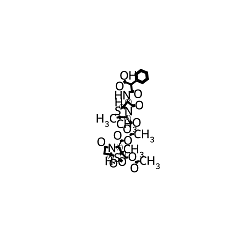 CC(=O)OC[C@@]1(C)[C@H](C(=O)OC(C)OC(=O)[C@@H]2N3C(=O)[C@@H](NC(=O)C(C(=O)O)c4ccccc4)[C@H]3SC2(C)C)N2C(=O)C[C@H]2S1(=O)=O